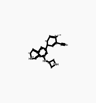 N#CC1=CC(c2cc(NC3CNC3)c3c(c2)=CCNC=3)CC=C1F